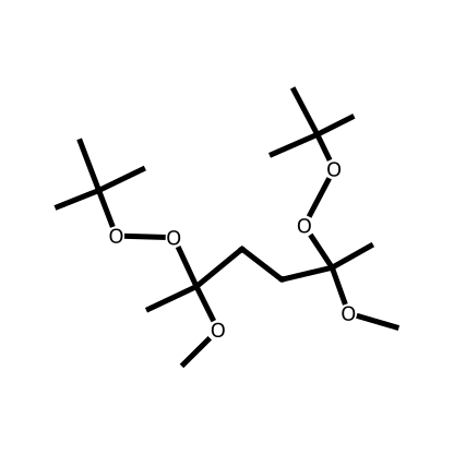 COC(C)(CCC(C)(OC)OOC(C)(C)C)OOC(C)(C)C